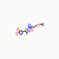 COc1cc(-c2sc(NC(=O)NCCOCC3CC3)nc2C)cnc1OC